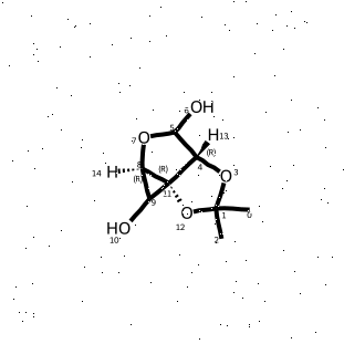 CC1(C)O[C@H]2C(O)O[C@@H]3C(O)[C@@]32O1